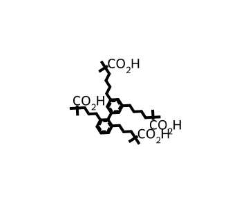 CC(C)(CCCCc1cc(CCCCC(C)(C)C(=O)O)cc(-c2c(CCCC(C)(C)C(=O)O)cccc2CCCC(C)(C)C(=O)O)c1)C(=O)O